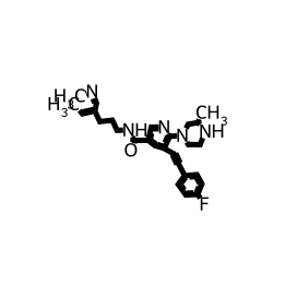 C/C=C(\C=N/C)CCCNC(=O)c1cnc(N2CCNC(C)C2)c(C#Cc2ccc(F)cc2)c1